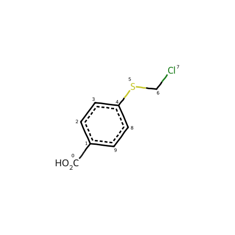 O=C(O)c1ccc(SCCl)cc1